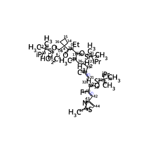 CC[C@@H](C(=O)C1([C@H](CC(=O)O)O[SiH2]C(C)(C)C(C)C)CCC1)[C@@H](O[SiH2]C(C)(C)C(C)C)[C@@H](C)CCC/C(C)=C/C[C@H](O[SiH2]C(C)(C)C(C)C)/C(F)=C/c1csc(C)n1